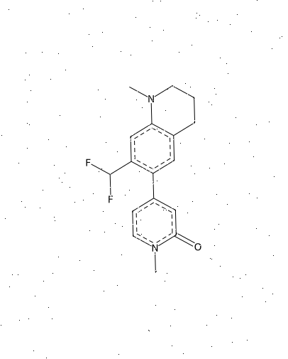 CN1CCCc2cc(-c3ccn(C)c(=O)c3)c(C(F)F)cc21